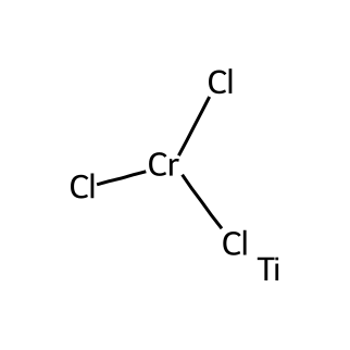 [Cl][Cr]([Cl])[Cl].[Ti]